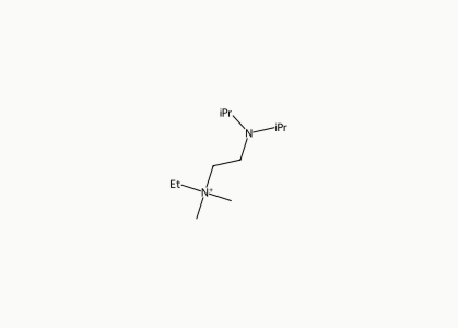 CC[N+](C)(C)CCN(C(C)C)C(C)C